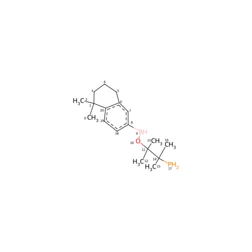 CC1(C)CCCc2cc(BOC(C)(C)C(C)(C)P)ccc21